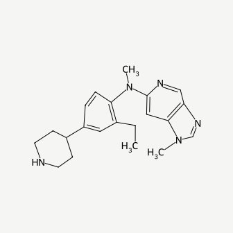 CCc1cc(C2CCNCC2)ccc1N(C)c1cc2c(cn1)ncn2C